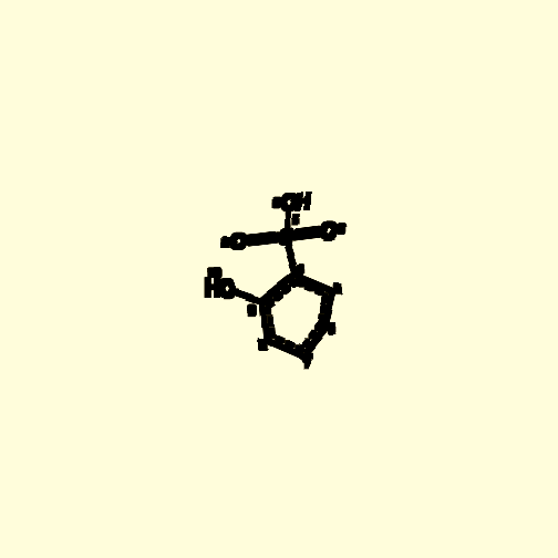 O=S(=O)(O)c1cc[c]cc1O